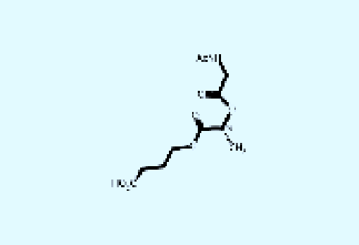 CC(=O)NCC(=O)O[C@H](C)C(=O)OCCCC(=O)O